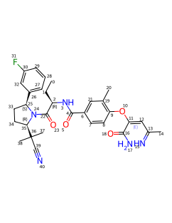 CC[C@@H](NC(=O)c1ccc(O/C(=C/C(C)=N)C(N)=O)c(C)c1)C(=O)N1[C@H](c2cccc(F)c2)CC[C@@H]1C(C)(C)C#N